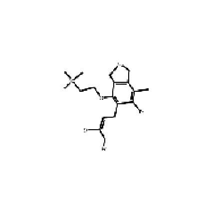 CCC(=CCc1c(CC)c(C)c2c(c1OCC[Si](C)(C)C)COC2)CBr